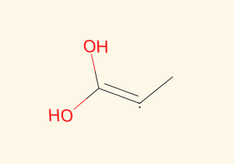 C[C]=C(O)O